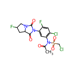 CC(=O)N(c1cc(N2C(=O)C3CC(F)CN3C2=O)c(F)cc1Cl)S(=O)(=O)CCl